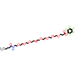 O=C(O)CCCC(=O)NCCOCCOCCOCCOCCOCCOCCOCCOCCC(=O)Oc1c(F)c(F)c(F)c(F)c1F